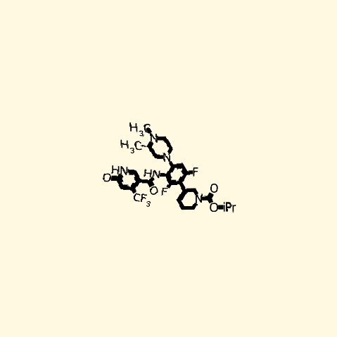 CC(C)OC(=O)N1CCC=C(c2c(F)cc(N3CCN(C)[C@@H](C)C3)c(NC(=O)c3c[nH]c(=O)cc3C(F)(F)F)c2F)C1